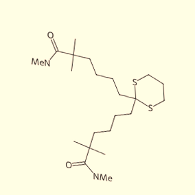 CNC(=O)C(C)(C)CCCCC1(CCCCC(C)(C)C(=O)NC)SCCCS1